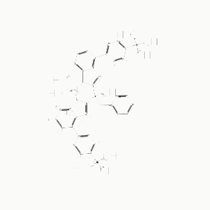 CC1(Cc2ccccc2)C2=Cc3c(-c4ccc(C(C)(C)C)cc4)cccc3[CH]2[Hf]([CH3])([CH3])[CH]2C1=Cc1c(-c3ccc(C(C)(C)C)cc3)cccc12